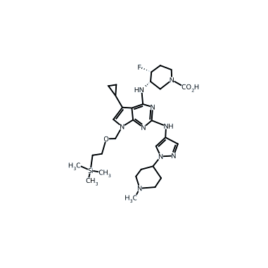 CN1CCC(n2cc(Nc3nc(N[C@H]4CN(C(=O)O)CC[C@H]4F)c4c(C5CC5)cn(COCC[Si](C)(C)C)c4n3)cn2)CC1